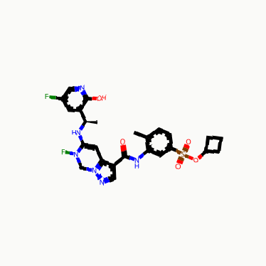 Cc1ccc(S(=O)(=O)OC2CCC2)cc1NC(=O)c1cnn2c1C=C(N[C@H](C)c1cc(F)cnc1O)N(F)C2